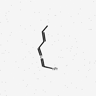 CC=CC=C=CCCC